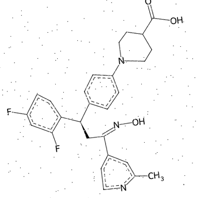 Cc1cc(C(C[C@H](c2ccc(N3CCC(C(=O)O)CC3)cc2)c2ccc(F)cc2F)=NO)ccn1